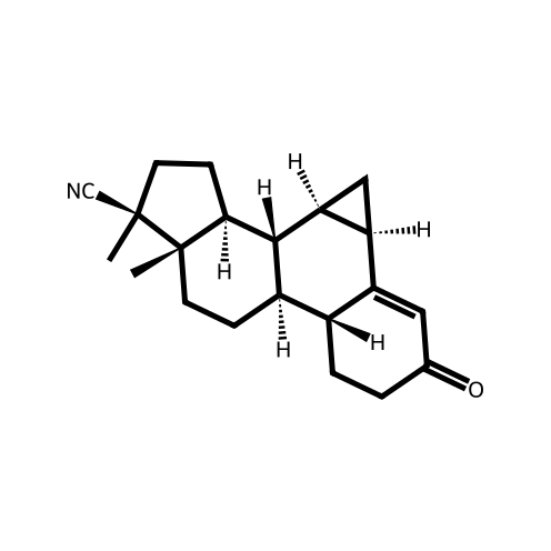 C[C@]1(C#N)CC[C@H]2[C@@H]3[C@H]4C[C@H]4C4=CC(=O)CC[C@@H]4[C@H]3CC[C@@]21C